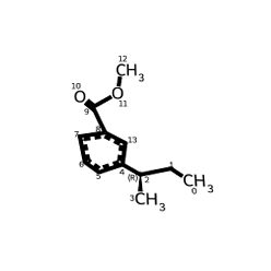 CC[C@@H](C)c1cccc(C(=O)OC)c1